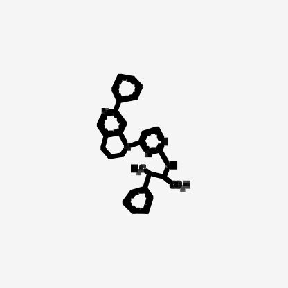 CC(c1ccccc1)C(Nc1nccc(N2CCCc3cnc(-c4ccccc4)cc32)n1)C(=O)O